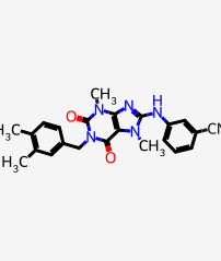 Cc1ccc(Cn2c(=O)c3c(nc(Nc4cccc(C#N)c4)n3C)n(C)c2=O)cc1C